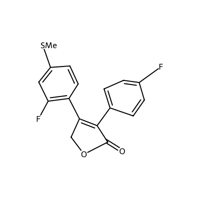 CSc1ccc(C2=C(c3ccc(F)cc3)C(=O)OC2)c(F)c1